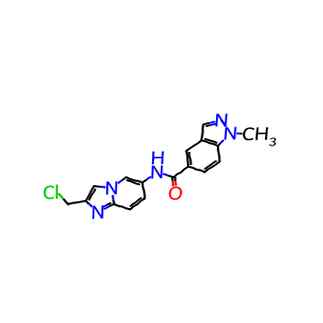 Cn1ncc2cc(C(=O)Nc3ccc4nc(CCl)cn4c3)ccc21